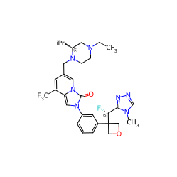 CC(C)[C@H]1CN(CC(F)(F)F)CCN1Cc1cc(C(F)(F)F)c2cn(-c3cccc(C4([C@H](F)c5nncn5C)COC4)c3)c(=O)n2c1